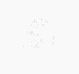 NS(=O)(=O)c1cc(NC(=O)c2cc(Cl)c(C3CCC3)nc2N2CCCC(F)(F)CC2)ccn1